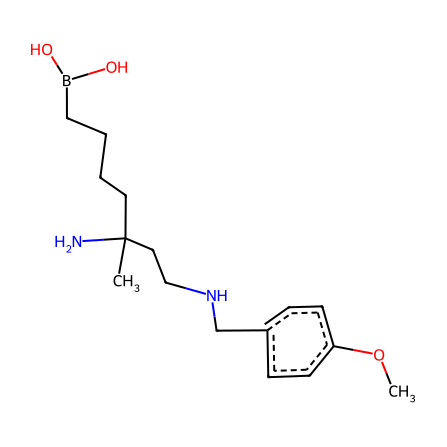 COc1ccc(CNCCC(C)(N)CCCCB(O)O)cc1